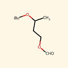 CCC(C)OC(C)CCOC=O